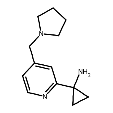 NC1(c2cc(CN3CCCC3)ccn2)CC1